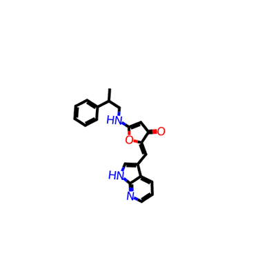 CC(CNC1=CC(=O)C(=Cc2c[nH]c3ncccc23)O1)c1ccccc1